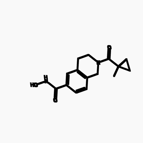 CC1(C(=O)N2CCc3cc(C(=O)NO)ccc3C2)CC1